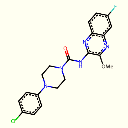 COc1nc2cc(F)ccc2nc1NC(=O)N1CCN(c2ccc(Cl)cc2)CC1